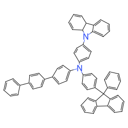 C1=CC2c3ccccc3N(c3ccc(N(c4ccc(-c5ccc(-c6ccccc6)cc5)cc4)c4ccc(C5(c6ccccc6)c6ccccc6-c6ccccc65)cc4)cc3)C2C=C1